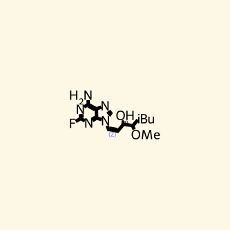 CCC(C)C(OC)[C@H](O)/C=C\n1cnc2c(N)nc(F)nc21